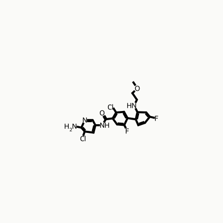 COCCNc1cc(F)ccc1-c1cc(Cl)c(C(=O)Nc2cnc(N)c(Cl)c2)cc1F